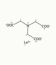 O=C([O-])CN(CC(=O)[O-])CC(=O)[O-].[La+3]